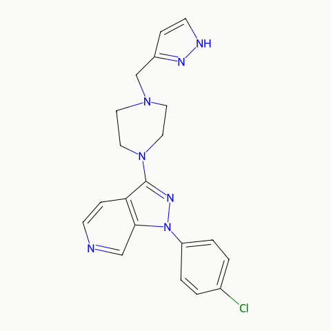 Clc1ccc(-n2nc(N3CCN(Cc4cc[nH]n4)CC3)c3ccncc32)cc1